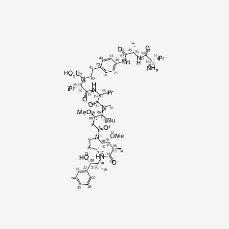 CC[C@H](C)[C@@H]([C@@H](CC(=O)N1CCC[C@H]1[C@H](OC)[C@@H](C)C(=O)N[C@H](C)[C@@H](O)c1ccccc1)OC)N(C)C(=O)[C@@H](NC(=O)[C@H](C(C)C)N(CCc1ccc(NC(=O)[C@H](C)NC(=O)[C@@H](N)C(C)C)cc1)C(=O)O)C(C)C